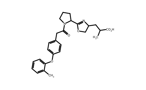 Cc1ccccc1Oc1ccc(CC(=O)N2CCCC2C2=NC(CC(C)C(=O)O)CO2)cc1